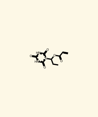 C=CC(=O)OC(CC)n1c(=O)[nH]c(=O)[nH]c1=O